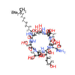 CC[C@H](C)C[C@H](C)CCCCCCCCC(=O)N[C@H]1C[C@@H](O)[C@@H](O)NC(=O)[C@@H]2[C@@H](O)CCN2C(=O)[C@H]([C@H](O)CC(N)=O)NC(=O)[C@H]([C@H](O)[C@@H](O)c2ccc(O)cc2)NC(=O)[C@@H]2C[C@@H](O)CN2C(=O)[C@H](CO)NC1=O